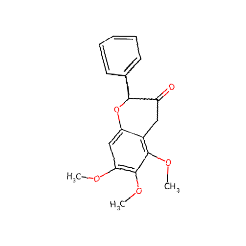 COc1cc2c(c(OC)c1OC)CC(=O)C(c1ccccc1)O2